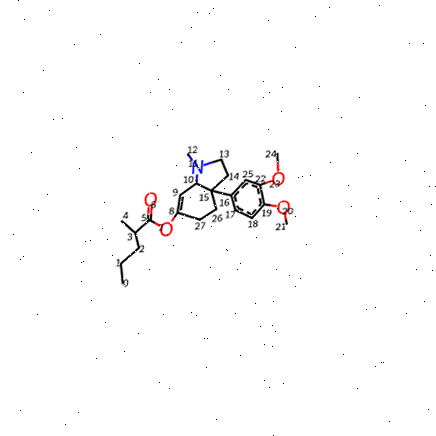 CCCC(C)C(=O)OC1=CC2N(C)CCC2(c2ccc(OC)c(OC)c2)CC1